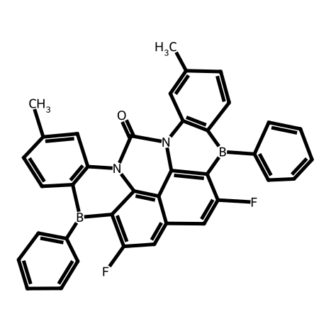 Cc1ccc2c(c1)N1C(=O)N3c4cc(C)ccc4B(c4ccccc4)c4c(F)cc5cc(F)c(c1c5c43)B2c1ccccc1